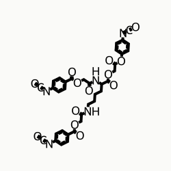 O=C=Nc1ccc(OC(=O)COC(=O)C(CCCCNC(=O)COC(=O)c2ccc(N=C=O)cc2)NC(=O)COC(=O)c2ccc(N=C=O)cc2)cc1